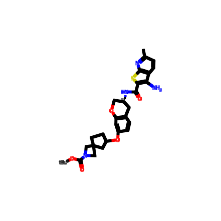 Cc1ccc2c(N)c(C(=O)N[C@H]3COc4cc(OC5CCC6(C5)CN(C(=O)OC(C)(C)C)C6)ccc4C3)sc2n1